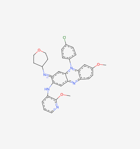 COc1ccc2nc3cc(Nc4cccnc4OC)/c(=N/C4CCOCC4)cc-3n(-c3ccc(Cl)cc3)c2c1